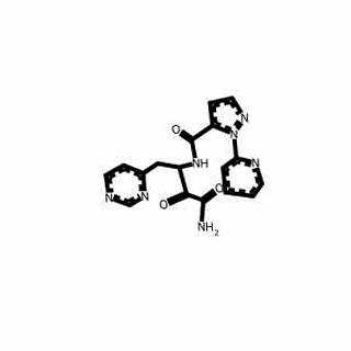 NC(=O)C(=O)C(Cc1ccncn1)NC(=O)c1ccnn1-c1ccccn1